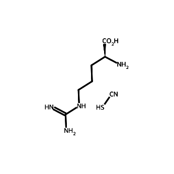 N#CS.N=C(N)NCCC[C@H](N)C(=O)O